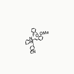 COc1cccc(C=Cc2nc3ccccc3n2Cc2ccc(C#N)cc2)c1OCc1ccccc1F